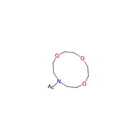 CC(=O)N1CCOCCOCCOCC1